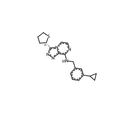 c1cc(CNc2nccn3c([C@@H]4CCCS4)nnc23)cc(C2CC2)c1